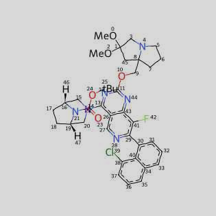 COC1(OC)CN2CCCC2(COc2nc(N3C[C@H]4CC[C@@H](C3)N4C(=O)OC(C)(C)C)c3cnc(-c4cccc5cccc(Cl)c45)c(F)c3n2)C1